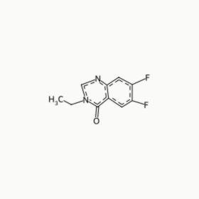 CCn1cnc2cc(F)c(F)cc2c1=O